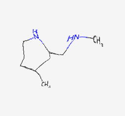 CNCC1NCCC1C